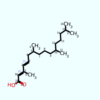 CC(/C=C/CC(C)CCCC(C)CCCC(C)C)=C\C(=O)O